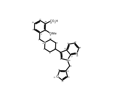 COc1c(CN2CCC(c3cn(Cc4ccoc4)c4ncccc34)CC2)cccc1C(=O)O